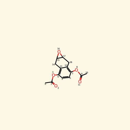 CC(=O)Oc1ccc(OC(C)=O)c2c1CC1OC1C2